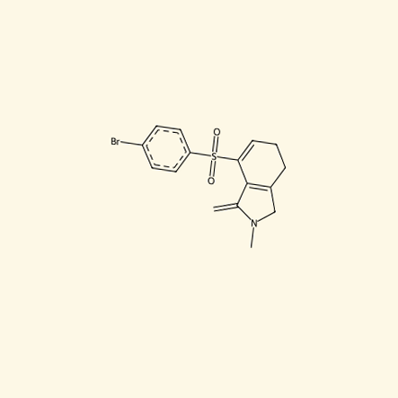 C=C1C2=C(CCC=C2S(=O)(=O)c2ccc(Br)cc2)CN1C